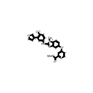 CNC(=O)c1cc(Oc2ccc3c(c2)nc(Nc2ccc(Cl)c(-c4ccsc4)c2)n3C)ccn1